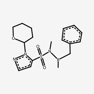 CB(Cc1ccccc1)N(C)S(=O)(=O)c1ccnn1C1CCCCO1